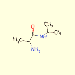 CC(C#N)NC(=O)C(C)N